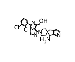 NC1c2cnccc2CC12CCN(c1nccn3c(-c4cccc(Cl)c4Cl)nc(CO)c13)CC2